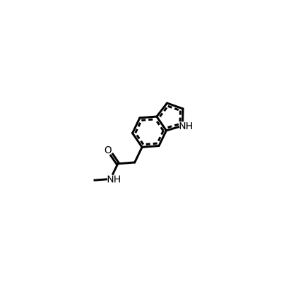 CNC(=O)Cc1ccc2cc[nH]c2c1